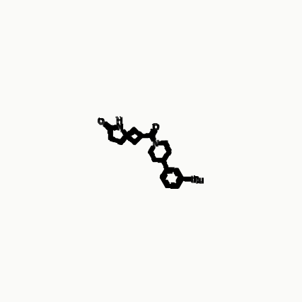 CC(C)(C)c1cccc(C2CCN(C(=O)C3CC4(CCC(=O)N4)C3)CC2)c1